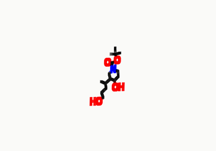 CC(CCCO)C1CN(C(=O)OC(C)(C)C)CCC1O